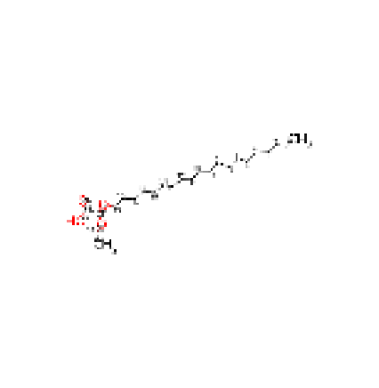 CCCCCCCCCCCCCCCCCCCCOC(OCC)C(=O)O